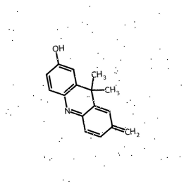 C=c1ccc2c(c1)C(C)(C)c1cc(O)ccc1N=2